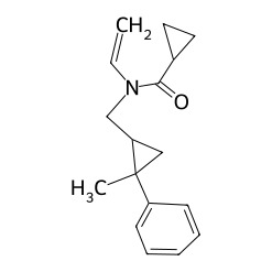 C=CN(CC1CC1(C)c1ccccc1)C(=O)C1CC1